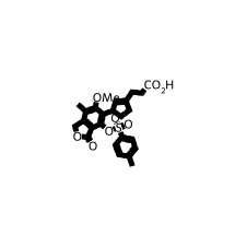 COc1c(C)c2c(c(OS(=O)(=O)c3ccc(C)cc3)c1C1C=C(CCC(=O)O)CC1)C(=O)OC2